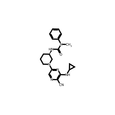 CN(C(=O)N[C@@H]1CCCN(c2cnc(C#N)c(NC3CC3)n2)C1)c1ccccc1